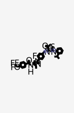 Cc1nn(-c2ccc(/C=N/N3C(=O)CS/C3=N\c3ccccc3C(C)C)cc2F)cc1NC(=O)c1ccc(OC(F)(F)F)cc1